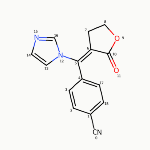 N#Cc1ccc(C(=C2CCOC2=O)n2ccnc2)cc1